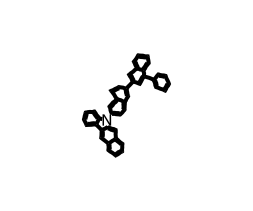 c1ccc(-c2cc(-c3ccc4cc(-n5c6ccccc6c6cc7ccccc7cc65)ccc4c3)cc3ccccc23)cc1